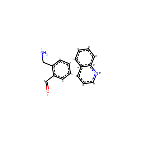 NCc1ccccc1C=O.c1ccc2ncccc2c1